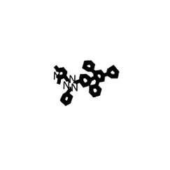 Cc1ccc(-c2nc(-c3ccccc3)nc(-c3ccc(-c4c(-c5ccccc5)cc(-c5ccccc5)cc4-c4ccccc4)cc3)n2)c(C)n1